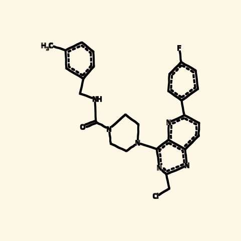 Cc1cccc(CNC(=O)N2CCN(c3nc(CCl)nc4ccc(-c5ccc(F)cc5)nc34)CC2)c1